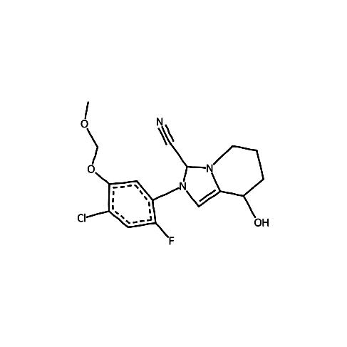 COCOc1cc(N2C=C3C(O)CCCN3C2C#N)c(F)cc1Cl